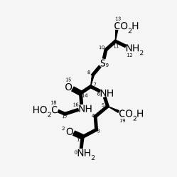 NC(=O)CC[C@@H](N[C@H](CSC[C@H](N)C(=O)O)C(=O)NCC(=O)O)C(=O)O